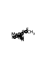 COc1cc(Oc2ccc(C)c(F)c2)ccc1N(c1ccncn1)S(=O)(=O)c1ccc2cnccc2c1